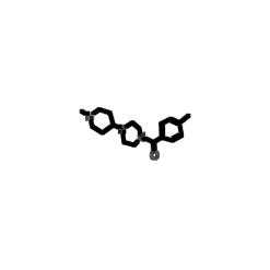 Cc1ccc(C(=O)N2CCN(C3CCN(C)CC3)CC2)cc1